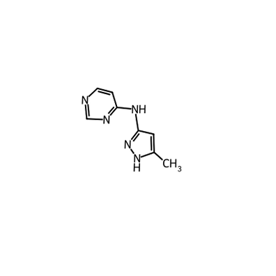 Cc1cc(Nc2ccncn2)n[nH]1